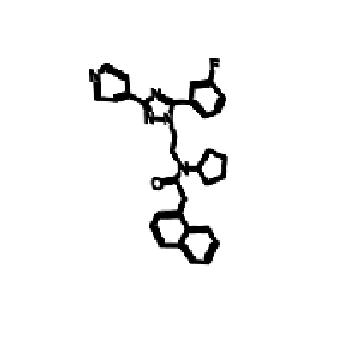 O=C(Cc1cccc2ccccc12)N(CCn1nc(-c2ccncc2)nc1-c1cccc(F)c1)C1CCCC1